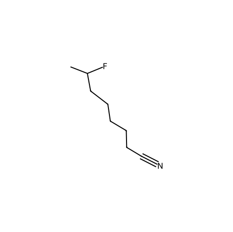 CC(F)CCCCCC#N